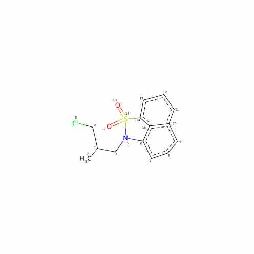 CC(CCl)CN1c2cccc3cccc(c23)S1(=O)=O